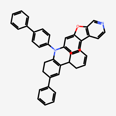 C1=CCC(C2=C(N(c3ccc(-c4ccccc4)cc3)c3ccc4c(c3)oc3cnccc34)CCC(c3ccccc3)=C2)C=C1